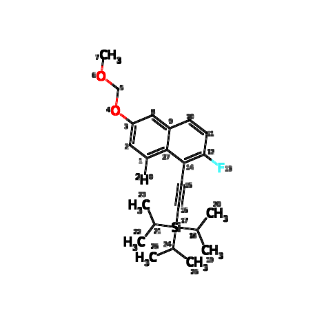 [2H]c1cc(OCOC)cc2ccc(F)c(C#C[Si](C(C)C)(C(C)C)C(C)C)c12